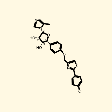 Cc1cncn1[C@@H]1O[C@H](c2ccc(OCc3csc(-c4ccc(Cl)cc4)n3)cc2)[C@H](O)[C@@H]1O